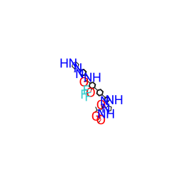 COC(=O)N[C@H](C(=O)N1CCC[C@H]1c1nc(-c2ccc(-c3ccc(C(=O)Nc4ccc(N5CCNC[C@H]5C)nc4)cc3OC(F)(F)F)cc2)c[nH]1)C(C)C